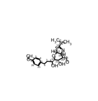 COc1ccc(CCC(O)[C@H]2O[C@@H]3SC(N(C)C)=N[C@@H]3[C@@H](N=O)[C@@H]2O)cc1